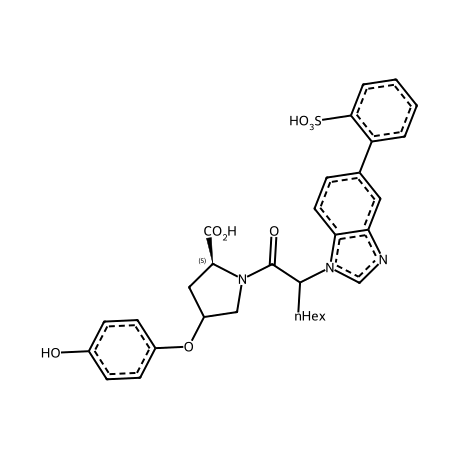 CCCCCCC(C(=O)N1CC(Oc2ccc(O)cc2)C[C@H]1C(=O)O)n1cnc2cc(-c3ccccc3S(=O)(=O)O)ccc21